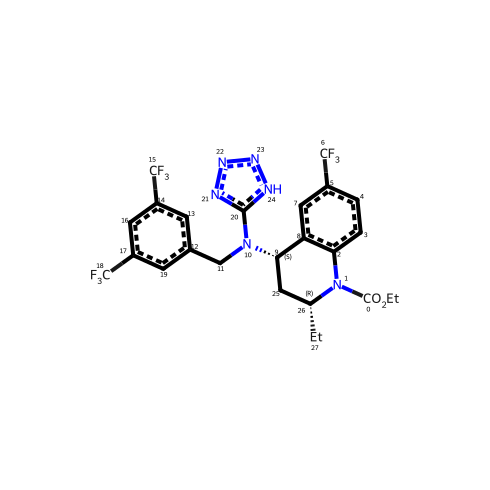 CCOC(=O)N1c2ccc(C(F)(F)F)cc2[C@@H](N(Cc2cc(C(F)(F)F)cc(C(F)(F)F)c2)c2nnn[nH]2)C[C@H]1CC